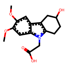 COc1cc2c3c(n(CC(=O)O)c2cc1OC)CCC(O)C3